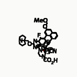 COCOc1cc(-c2c(F)cc3c(N4CCN(C(=O)O)[C@@H](CC#N)C4)nc(OCC45CCCN4CCC5)nc3c2F)c2c(C#C[Si](C(C)C)(C(C)C)C(C)C)cccc2c1